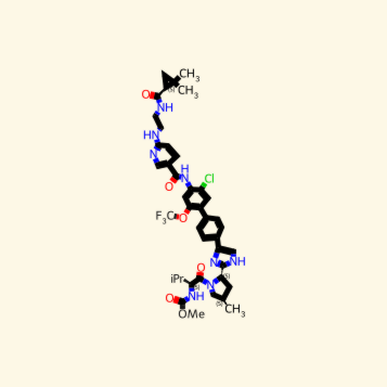 COC(=O)N[C@H](C(=O)N1C[C@@H](C)C[C@H]1c1nc(-c2ccc(-c3cc(Cl)c(NC(=O)c4ccc(NCCNC(=O)[C@H]5CC5(C)C)nc4)cc3OC(F)(F)F)cc2)c[nH]1)C(C)C